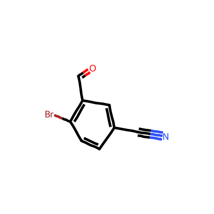 N#Cc1ccc(Br)c(C=O)c1